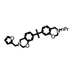 CCCN1COc2cc(C(C)(C)c3ccc4c(c3)OCN(Cc3ccco3)C4)ccc2C1